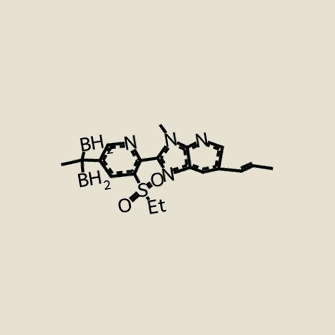 BC(B)(C)c1cnc(-c2nc3cc(/C=C/C)cnc3n2C)c(S(=O)(=O)CC)c1